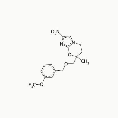 CC1(COCc2cccc(OC(F)(F)F)c2)CCn2cc([N+](=O)[O-])nc2O1